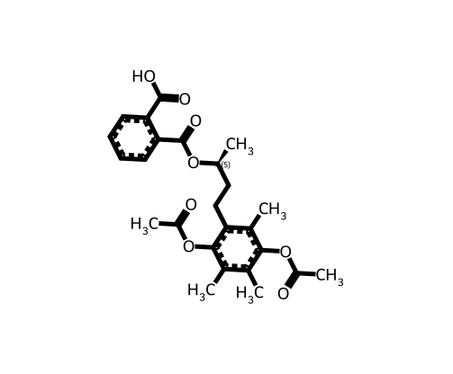 CC(=O)Oc1c(C)c(C)c(OC(C)=O)c(CC[C@H](C)OC(=O)c2ccccc2C(=O)O)c1C